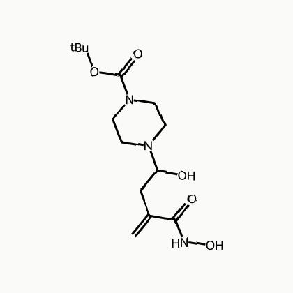 C=C(CC(O)N1CCN(C(=O)OC(C)(C)C)CC1)C(=O)NO